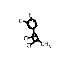 CC1=C(Cl)C2(Cl)C1C2c1ccc(F)c(Cl)c1